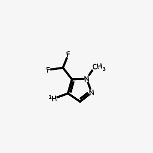 [2H]c1cnn(C)c1C(F)F